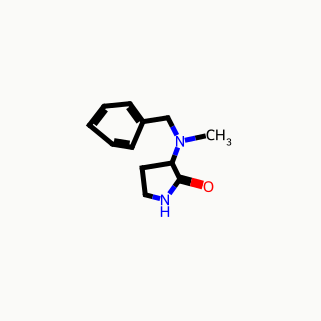 CN(Cc1ccccc1)C1CCNC1=O